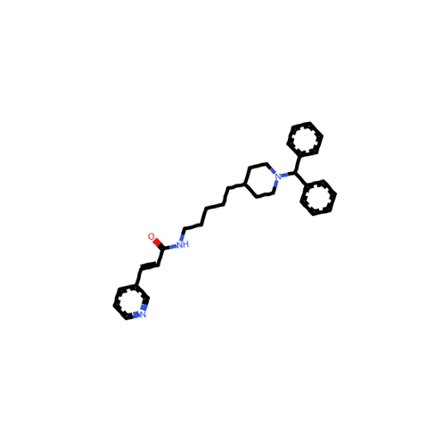 O=C(C=Cc1cccnc1)NCCCCCC1CCN(C(c2ccccc2)c2ccccc2)CC1